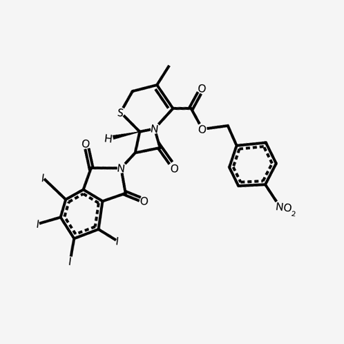 CC1=C(C(=O)OCc2ccc([N+](=O)[O-])cc2)N2C(=O)C(N3C(=O)c4c(I)c(I)c(I)c(I)c4C3=O)[C@@H]2SC1